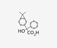 CC1(C)c2ccc(C(O)(C(=O)O)c3ccccc3)cc21